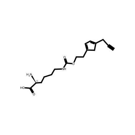 C#CCC1=CC=C(CCOC(=O)NCCCC[C@H](N)C(=O)O)C1